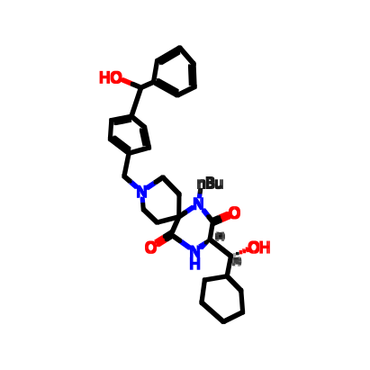 CCCCN1C(=O)[C@@H]([C@H](O)C2CCCCC2)NC(=O)C12CCN(Cc1ccc(C(O)c3ccccc3)cc1)CC2